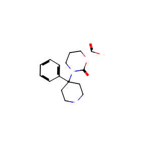 O=C1OCCCN1C1(c2ccccc2)CCNCC1.O=CO